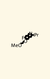 COCCCOc1cc2cc(C(C)C)ncc2cc1F